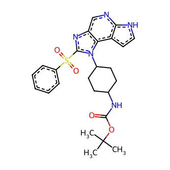 CC(C)(C)OC(=O)NC1CCC(n2c(S(=O)(=O)c3ccccc3)nc3cnc4[nH]ccc4c32)CC1